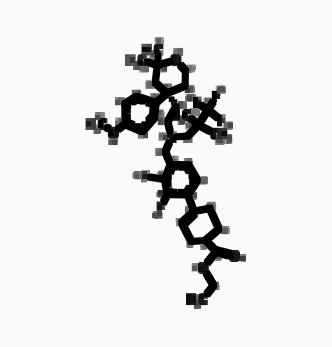 CCOC(=O)C1CC=C(c2ccc(CN(CC[C@@]3(c4ccc(OC)cc4)CCOC(C)(C)C3)CC(C)(C)C(F)(F)F)c(F)c2F)CC1